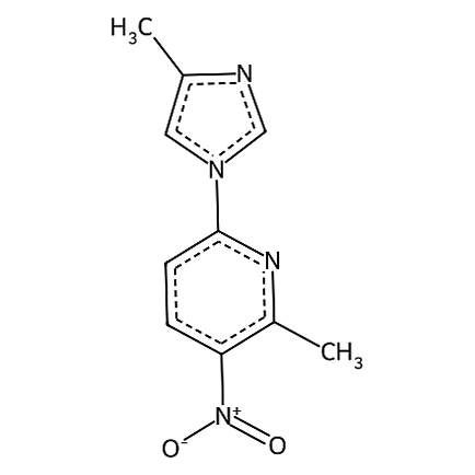 Cc1cn(-c2ccc([N+](=O)[O-])c(C)n2)cn1